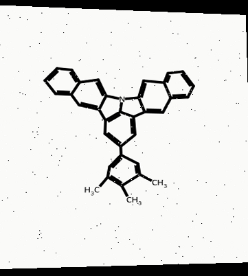 Cc1cc(-c2cc3c4cc5ccccc5cc4n4c5cc6ccccc6cc5c(c2)c34)cc(C)c1C